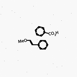 COC=Cc1ccccc1.O=C(O)c1ccccc1